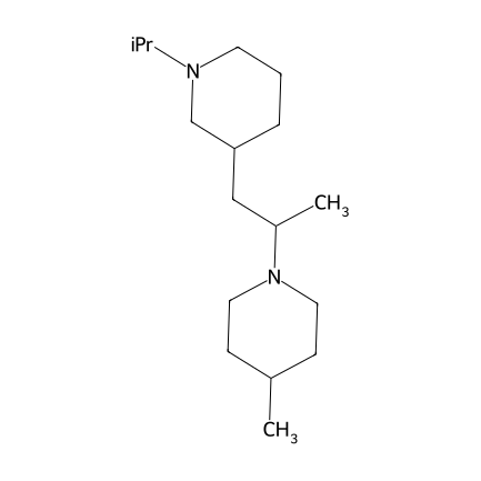 CC1CCN(C(C)CC2CCCN(C(C)C)C2)CC1